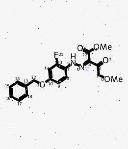 COCC(=O)/C(=N/Nc1ccc(OCc2ccccc2)cc1F)C(=O)OC